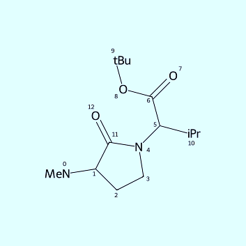 CNC1CCN(C(C(=O)OC(C)(C)C)C(C)C)C1=O